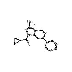 Nc1nn(C(=O)C2CC2)c2cc(-c3ccccc3)ncc12